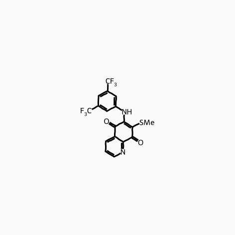 CSC1=C(Nc2cc(C(F)(F)F)cc(C(F)(F)F)c2)C(=O)c2cccnc2C1=O